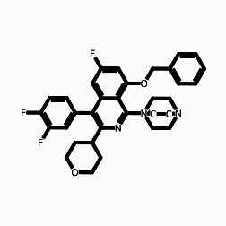 Fc1cc(OCc2ccccc2)c2c([N+]34CCN(CC3)CC4)nc(C3CCOCC3)c(-c3ccc(F)c(F)c3)c2c1